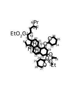 CCOC(=O)[C@H](CC[C@@H](F)C(C)C)[C@H]1CC[C@H]2[C@@H]3CC=C4C[C@@](OC(C)OCC)(OC5CCCCO5)C[C@H](OC5CCCCO5)[C@]4(C)[C@H]3CC[C@]12C